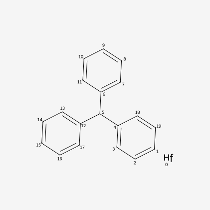 [Hf].c1ccc(C(c2ccccc2)c2ccccc2)cc1